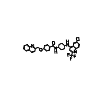 O=C(NC1CCC(Nc2cc(C(F)(F)F)nc3ccc(Cl)cc23)CC1)c1ccc(OCc2ccc3ccccc3n2)cc1